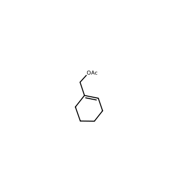 CC(=O)OCC1=CCCCC1